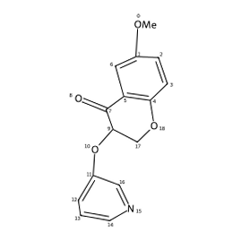 COc1ccc2c(c1)C(=O)C(Oc1cccnc1)CO2